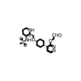 CS(=O)(=O)N[C@H]1CCCN[C@H]1CO[C@H]1CC[C@@H](c2ccnnc2OCC=O)CC1